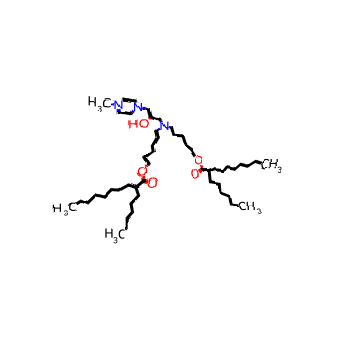 CCCCCCCCC(CCCCCC)C(=O)OCCCCCCN(CCCCCCOC(=O)C(CCCCCC)CCCCCCCC)CC(O)CN1CCN(C)CC1